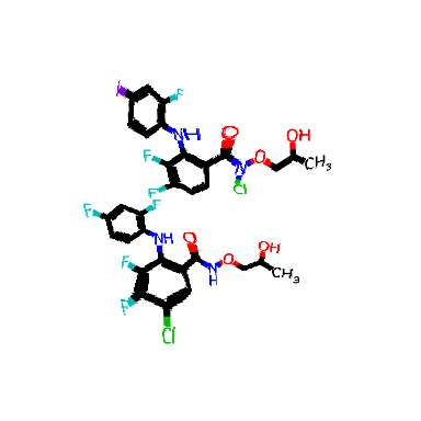 CC(O)CON(Cl)C(=O)c1ccc(F)c(F)c1Nc1ccc(I)cc1F.CC(O)CONC(=O)c1cc(Cl)c(F)c(F)c1Nc1ccc(F)cc1F